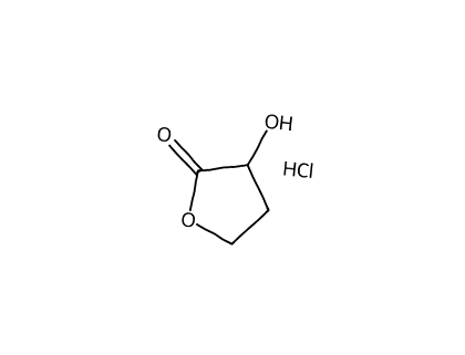 Cl.O=C1OCCC1O